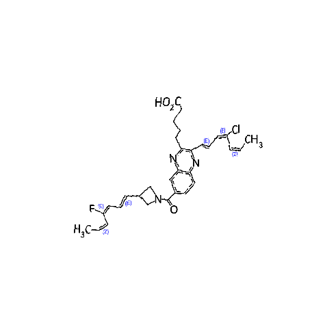 C\C=C/C(F)=C\C=C\C1CN(C(=O)c2ccc3nc(/C=C/C=C(Cl)\C=C/C)c(CCCCC(=O)O)nc3c2)C1